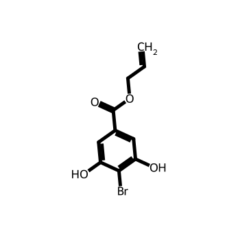 C=CCOC(=O)c1cc(O)c(Br)c(O)c1